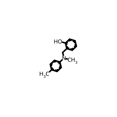 Cc1ccc(N(C)Cc2ccccc2O)cc1